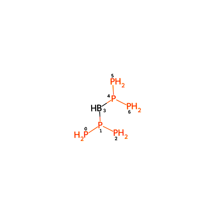 PP(P)BP(P)P